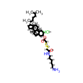 CC(C)CCCC(C)[C@H]1CC[C@H]2[C@@H]3CC=C4C[C@@H](OC(=O)CSSCC(=O)NCCCCCCN)CC[C@]4(C)[C@H]3CC[C@]12C.Cl